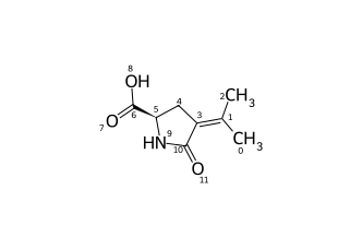 CC(C)=C1C[C@H](C(=O)O)NC1=O